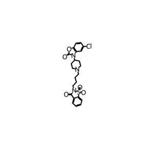 O=C1c2ccccc2S(=O)(=O)N1CCCCN1CCC(n2c(=O)oc3ccc(Cl)cc32)CC1